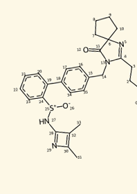 CCCCC1=NC2(CCCC2)C(=O)N1Cc1ccc(-c2ccccc2[S+]([O-])NC2=NC(C)=C2C)cc1